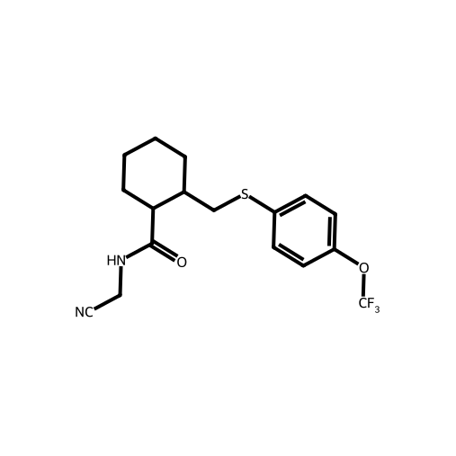 N#CCNC(=O)C1CCCCC1CSc1ccc(OC(F)(F)F)cc1